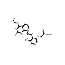 CNC(=O)CSc1cncc(Cl)c1COc1cccc2c(NCI)cc(C)nc12